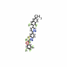 Cc1ccc2c(F)c(-c3ccc(-c4ccc5nc(C(F)(F)Oc6cc(F)c(F)c(F)c6)sc5c4)nc3)c(F)cc2c1